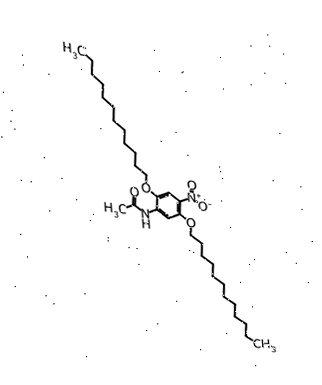 CCCCCCCCCCCCOc1cc([N+](=O)[O-])c(OCCCCCCCCCCCC)cc1NC(C)=O